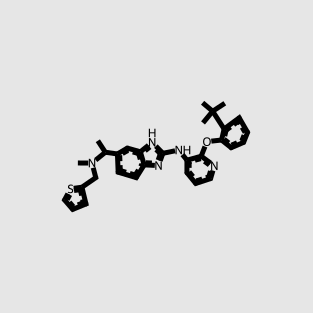 CC(c1ccc2nc(Nc3cccnc3Oc3ccccc3C(C)(C)C)[nH]c2c1)N(C)Cc1cccs1